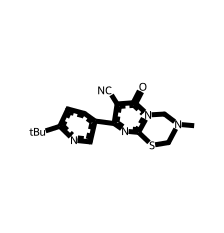 CN1CSc2nc(-c3ccc(C(C)(C)C)nc3)c(C#N)c(=O)n2C1